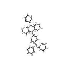 c1ccc(-c2c3ccccc3c(-c3ccc(N(c4ccccn4)c4ccccn4)cc3)c3ccccc23)nc1